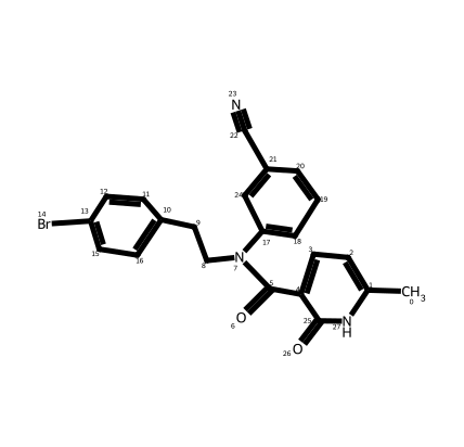 Cc1ccc(C(=O)N(CCc2ccc(Br)cc2)c2cccc(C#N)c2)c(=O)[nH]1